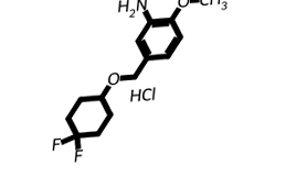 COc1ccc(COC2CCC(F)(F)CC2)cc1N.Cl